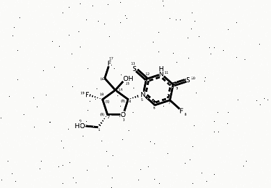 OC[C@H]1O[C@@H](n2cc(F)c(=S)[nH]c2=S)C(O)(CF)[C@H]1F